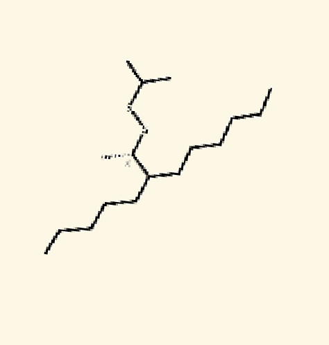 CCCCCCC(CCCCC)[C@H](C)SSC(C)C